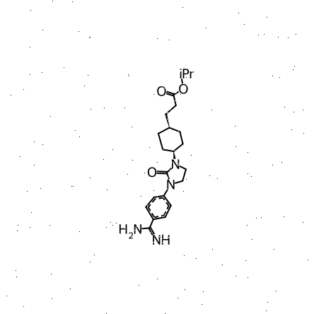 CC(C)OC(=O)CC[C@H]1CC[C@@H](N2CCN(c3ccc(C(=N)N)cc3)C2=O)CC1